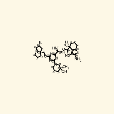 CC1(C(=O)ONC(=N)c2nc(OC[C@@]34CCCN3C[C@H](F)C4)nc(N3CCC[C@@](C)(O)C3)n2)CCCc2sc(N)c(C#N)c21